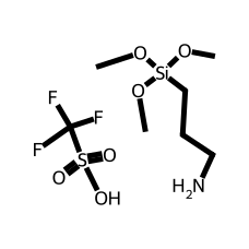 CO[Si](CCCN)(OC)OC.O=S(=O)(O)C(F)(F)F